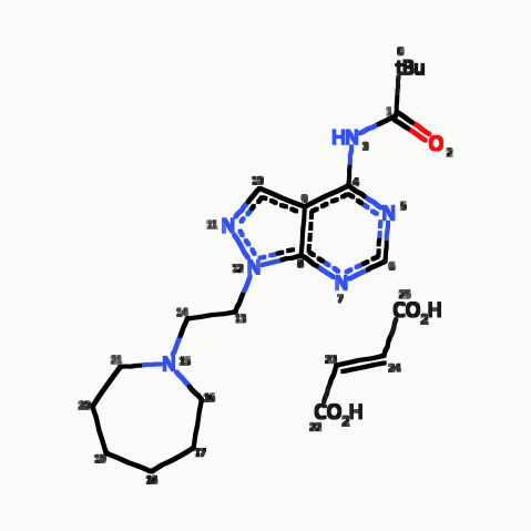 CC(C)(C)C(=O)Nc1ncnc2c1cnn2CCN1CCCCCC1.O=C(O)C=CC(=O)O